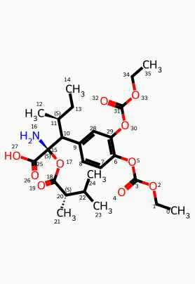 CCOC(=O)Oc1ccc(C([C@@H](C)CC)[C@](N)(OC(=O)[C@@H](C)C(C)C)C(=O)O)cc1OC(=O)OCC